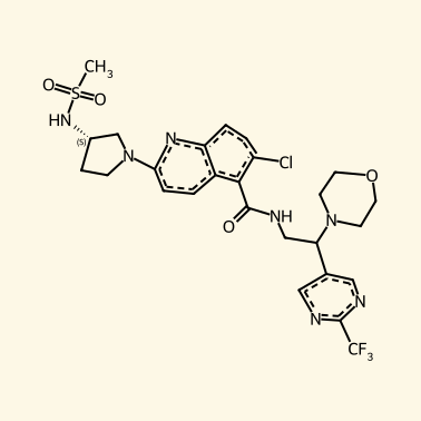 CS(=O)(=O)N[C@H]1CCN(c2ccc3c(C(=O)NCC(c4cnc(C(F)(F)F)nc4)N4CCOCC4)c(Cl)ccc3n2)C1